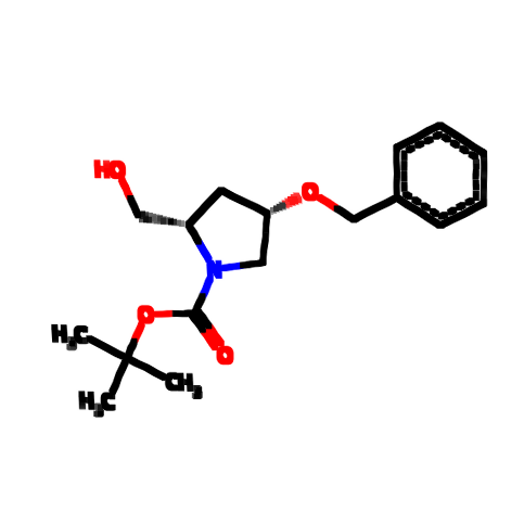 CC(C)(C)OC(=O)N1C[C@@H](OCc2ccccc2)C[C@H]1CO